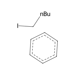 CCCCCI.c1ccccc1